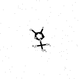 CC(C)(C)n1cc(F)c(Cl)n1